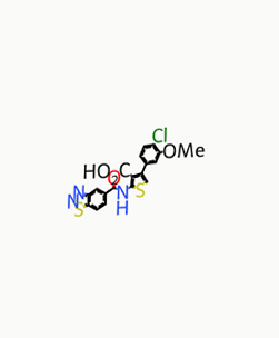 COc1cc(-c2csc(NC(=O)c3ccc4snnc4c3)c2C(=O)O)ccc1Cl